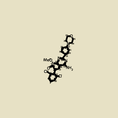 COn1c(=O)c(-c2c(Cl)cccc2Cl)cc2c(N)nc(-c3ccc(N4CCOCC4)cc3)nc21